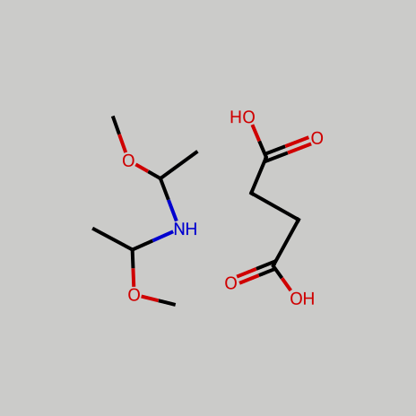 COC(C)NC(C)OC.O=C(O)CCC(=O)O